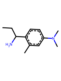 CCC(N)c1ccc(N(C)C)cc1C